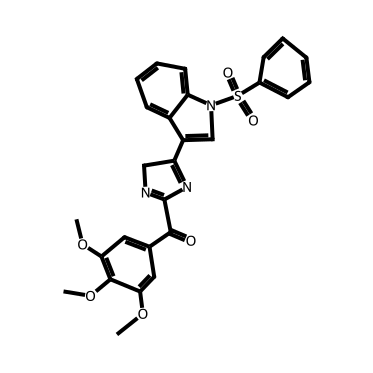 COc1cc(C(=O)C2=NCC(c3cn(S(=O)(=O)c4ccccc4)c4ccccc34)=N2)cc(OC)c1OC